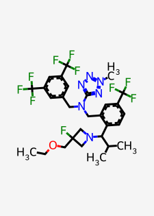 CCOCC1(F)CN(C(c2ccc(C(F)(F)F)cc2CN(Cc2cc(C(F)(F)F)cc(C(F)(F)F)c2)c2nnn(C)n2)C(C)C)C1